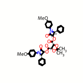 COC1=CC=C(N2C(=O)[C@H](OC(=O)[C@@H]3OC(C)(C)O[C@H]3C(=O)O[C@H]3C(=O)N(c4ccc(OC)cc4)[C@H]3c3ccccc3)[C@@H]2c2ccccc2)CC1